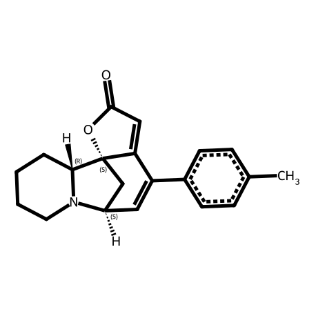 Cc1ccc(C2=C[C@@H]3C[C@@]4(OC(=O)C=C24)[C@H]2CCCCN32)cc1